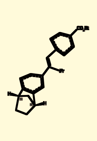 CCOC(=O)c1ccc(C=C(c2ccc3c(c2)[C@@H]2CC[C@H]3C2)C(C)C)cc1